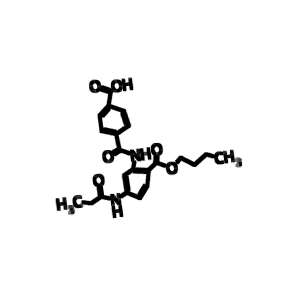 CCCCOC(=O)c1ccc(NC(=O)CC)cc1NC(=O)c1ccc(C(=O)O)cc1